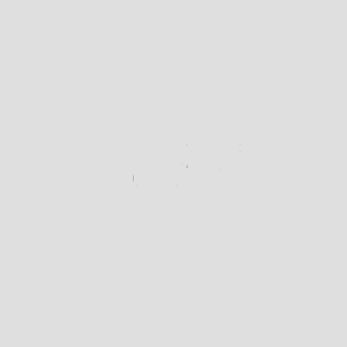 CCO[Si](OCC)O[SiH2]C1CCC1